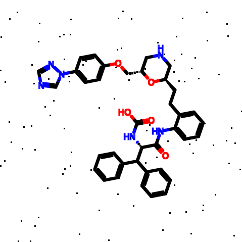 O=C(O)N[C@H](C(=O)Nc1ccccc1CC[C@@H]1CNC[C@@H](COc2ccc(-n3cncn3)cc2)O1)C(c1ccccc1)c1ccccc1